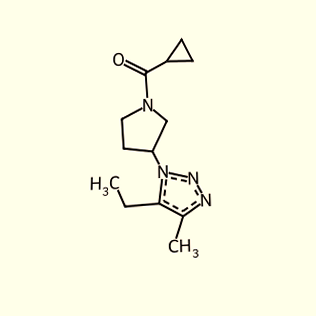 CCc1c(C)nnn1C1CCN(C(=O)C2CC2)C1